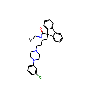 O=C(NCC(F)(F)F)C1(CCCCN2CCN(c3cccc(Cl)c3)CC2)c2ccccc2-c2ccccc21